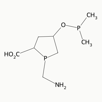 CP(C)OC1CC(C(=O)O)P(CN)C1